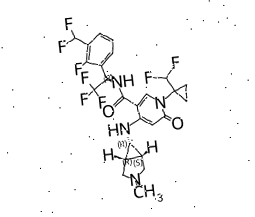 CN1C[C@@H]2[C@H](C1)[C@@H]2Nc1cc(=O)n(C2(C(F)F)CC2)cc1C(=O)N[C@H](c1cccc(C(F)F)c1F)C(F)(F)F